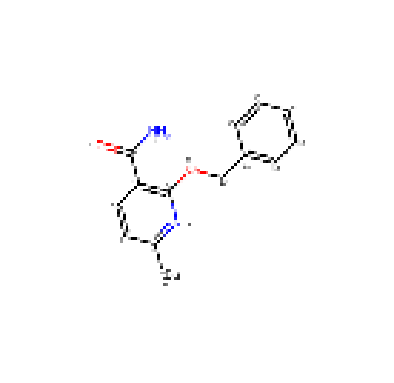 CC(C)(C)c1ccc(C(N)=O)c(OCc2ccccc2)n1